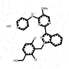 COc1cnc(-c2nn(Cc3c(Cl)ccc(CO)c3Cl)c3ccccc23)nc1Nc1ccncc1.Cl